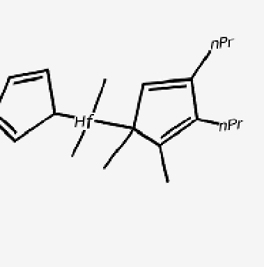 CCCC1=C[C](C)([Hf]([CH3])([CH3])[CH]2C=CC=C2)C(C)=C1CCC